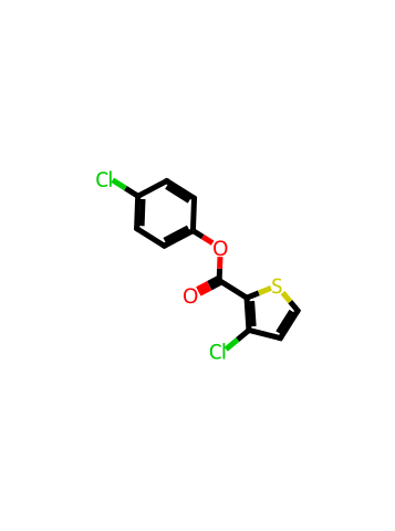 O=C(Oc1ccc(Cl)cc1)c1sccc1Cl